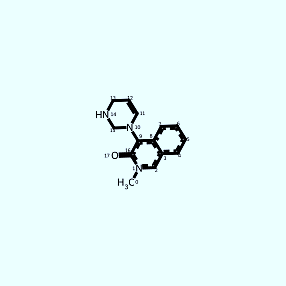 Cn1cc2ccccc2c(N2C=CCNC2)c1=O